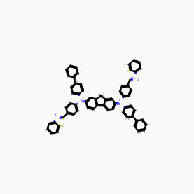 CC1(C)c2cc(N(c3ccc(-c4ccccc4)cc3)c3ccc(-c4nc5ccccc5s4)cc3)ccc2-c2ccc(N(c3ccc(-c4ccccc4)cc3)c3ccc(-c4nc5ccccc5s4)cc3)cc21